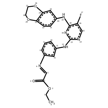 CCOC(=O)/C=N/c1cccc(Nc2ncc(F)c(Nc3ccc4c(c3)OCCO4)n2)c1